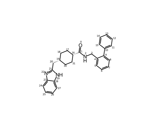 O=C(NCc1ccccc1-c1ccccc1)[C@H]1CC[C@@H](Cc2nc3ccccc3[nH]2)CC1